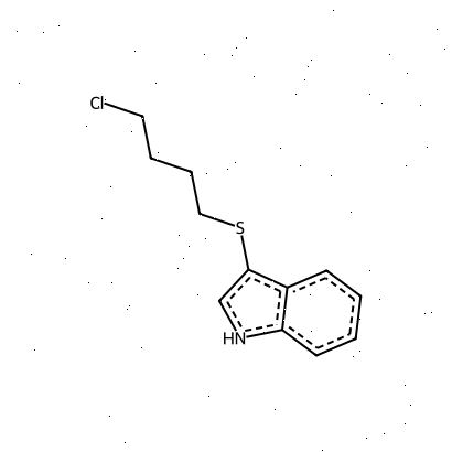 ClCCCCSc1c[nH]c2ccccc12